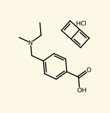 CCN(C)Cc1ccc(C(=O)O)cc1.Cl.c1cc2ccc1-2